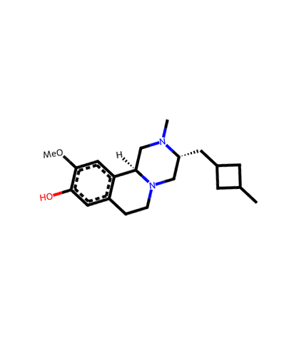 COc1cc2c(cc1O)CCN1C[C@@H](CC3CC(C)C3)N(C)C[C@H]21